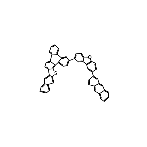 c1ccc2cc3cc(-c4ccc5oc6ccc(-c7ccc8c(c7)c7ccccc7c7ccc9c%10cc%11ccccc%11cc%10sc9c78)cc6c5c4)ccc3cc2c1